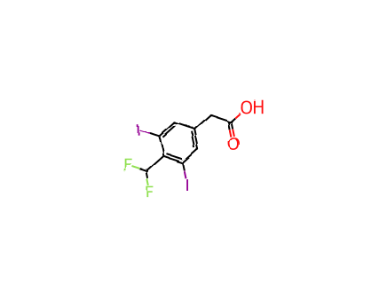 O=C(O)Cc1cc(I)c(C(F)F)c(I)c1